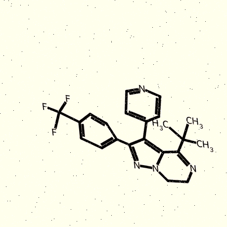 CC(C)(C)C1=NCCn2nc(-c3ccc(C(F)(F)F)cc3)c(-c3ccncc3)c21